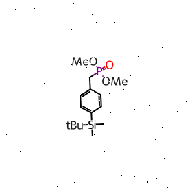 COP(=O)(Cc1ccc([Si](C)(C)C(C)(C)C)cc1)OC